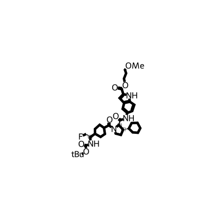 COCCCOC(=O)c1cc2cc(NC(=O)[C@H]3[C@H](C4CCCCC4)CCN3C(=O)C3CCC([C@@H](CF)NC(=O)OC(C)(C)C)CC3)ccc2[nH]1